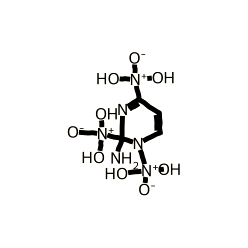 NC1([N+]([O-])(O)O)N=C([N+]([O-])(O)O)C=CN1[N+]([O-])(O)O